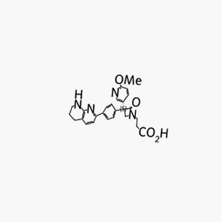 COc1ccc([C@@]2(c3ccc(-c4ccc5c(n4)NCCC5)cc3)CN(CCC(=O)O)C2=O)cn1